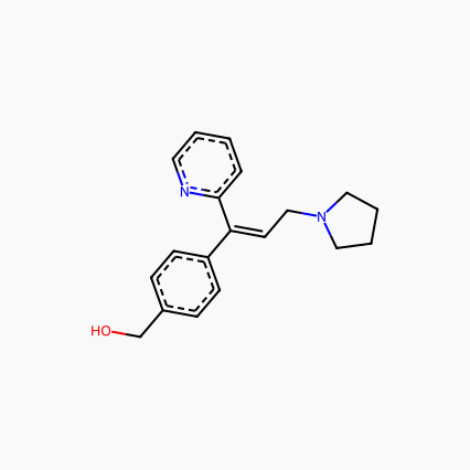 OCc1ccc(C(=CCN2CCCC2)c2ccccn2)cc1